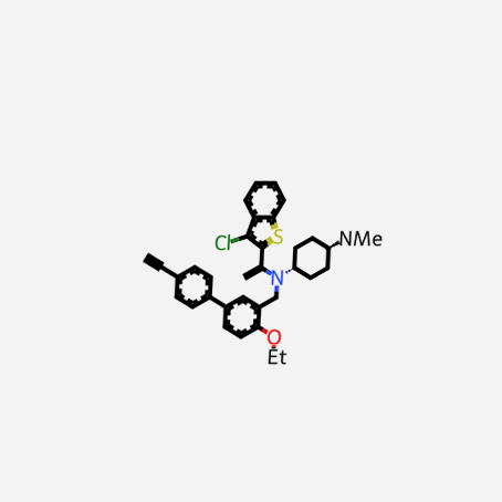 C#Cc1ccc(-c2ccc(OCC)c(CN(C(=C)c3sc4ccccc4c3Cl)[C@H]3CC[C@H](NC)CC3)c2)cc1